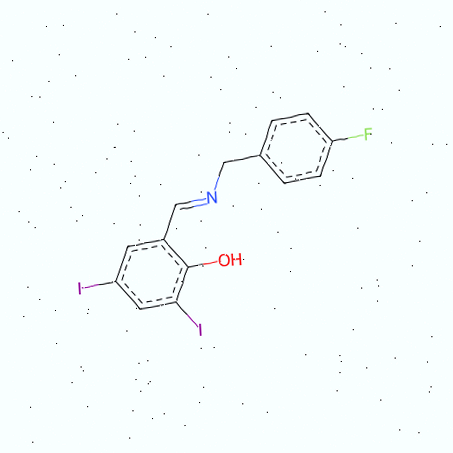 Oc1c(I)cc(I)cc1/C=N/Cc1ccc(F)cc1